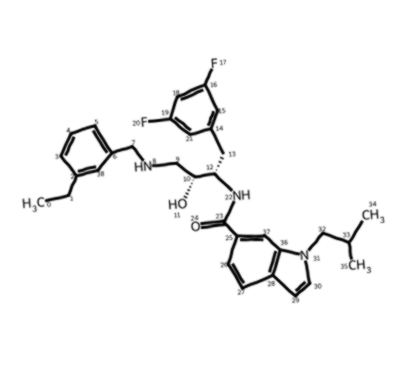 CCc1cccc(CNC[C@@H](O)[C@H](Cc2cc(F)cc(F)c2)NC(=O)c2ccc3ccn(CC(C)C)c3c2)c1